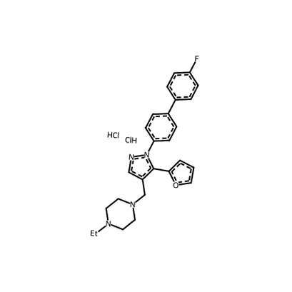 CCN1CCN(Cc2cnn(-c3ccc(-c4ccc(F)cc4)cc3)c2-c2ccco2)CC1.Cl.Cl